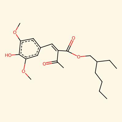 CCCCC(CC)COC(=O)/C(=C/c1cc(OC)c(O)c(OC)c1)C(C)=O